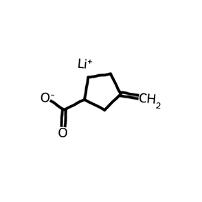 C=C1CCC(C(=O)[O-])C1.[Li+]